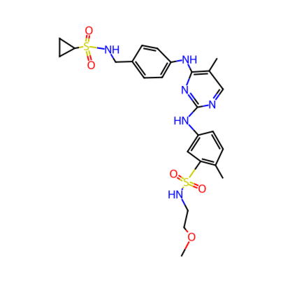 COCCNS(=O)(=O)c1cc(Nc2ncc(C)c(Nc3ccc(CNS(=O)(=O)C4CC4)cc3)n2)ccc1C